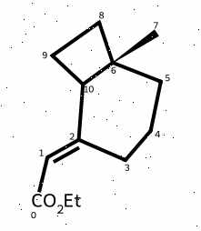 CCOC(=O)/C=C1\CCC[C@@]2(C)CCC12